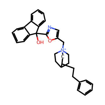 OC1(c2ncc(C[N+]34CCC(CC3)C(CCc3ccccc3)C4)o2)c2ccccc2-c2ccccc21